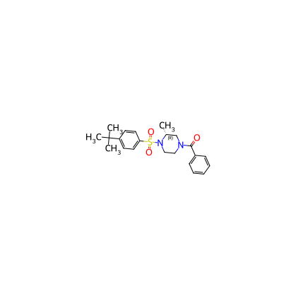 C[C@@H]1CN(C(=O)c2ccccc2)CCN1S(=O)(=O)c1ccc(C(C)(C)C)cc1